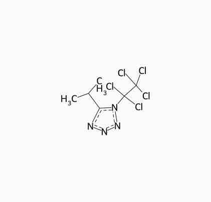 CC(C)c1nnnn1C(Cl)(Cl)C(Cl)(Cl)Cl